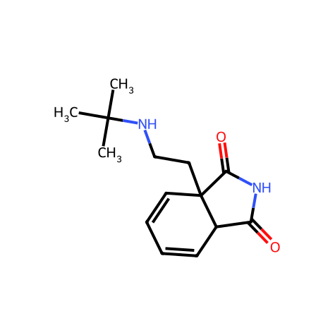 CC(C)(C)NCCC12C=CC=CC1C(=O)NC2=O